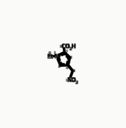 CCn1cc(C[N+](=O)[O-])cc1C(=O)O